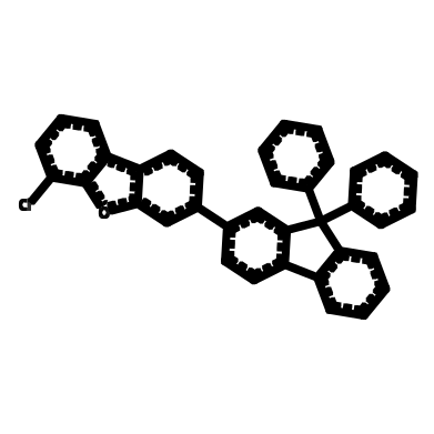 Clc1cccc2c1oc1cc(-c3ccc4c(c3)C(c3ccccc3)(c3ccccc3)c3ccccc3-4)ccc12